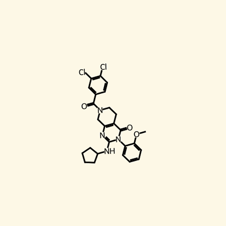 COc1ccccc1-n1c(NC2CCCC2)nc2c(c1=O)CCN(C(=O)c1ccc(Cl)c(Cl)c1)C2